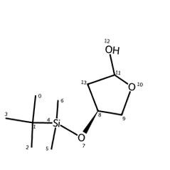 CC(C)(C)[Si](C)(C)O[C@@H]1COC(O)C1